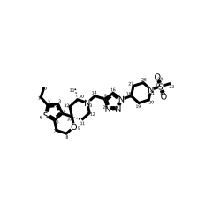 CCc1cc2c(s1)CCO[C@@]21CCN(Cc2cn(C3CCN(S(C)(=O)=O)CC3)nn2)[C@@H](C)C1